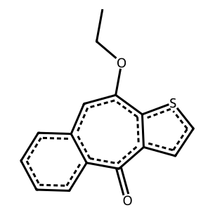 CCOc1cc2ccccc2c(=O)c2ccsc12